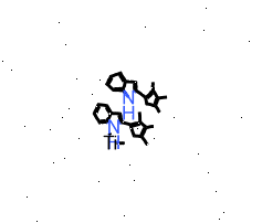 CC1=C(C)C(C)=C(c2cc3ccccc3[nH]2)C1.CC1=C(C)C(C)=C(c2cc3ccccc3[nH]2)C1.[CH3][Ti][CH3]